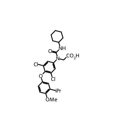 COc1ccc(Oc2c(Cl)cc(N(CC(=O)O)C(=O)NC3CCCCC3)cc2Cl)cc1C(C)C